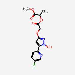 COC(=O)C(C)OC(=O)COc1cc(-c2ccc(Cl)cn2)n(O)n1